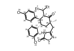 CCC(CC)N1C(=O)[C@@](C)(Cc2nsc(=O)[nH]2)C[C@H](c2cccc(Cl)c2)[C@H]1c1ccc(Cl)cc1